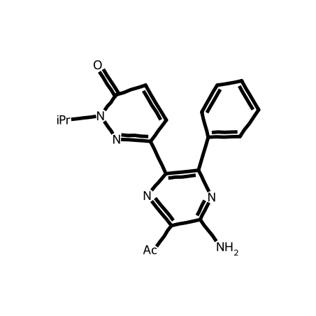 CC(=O)c1nc(-c2ccc(=O)n(C(C)C)n2)c(-c2ccccc2)nc1N